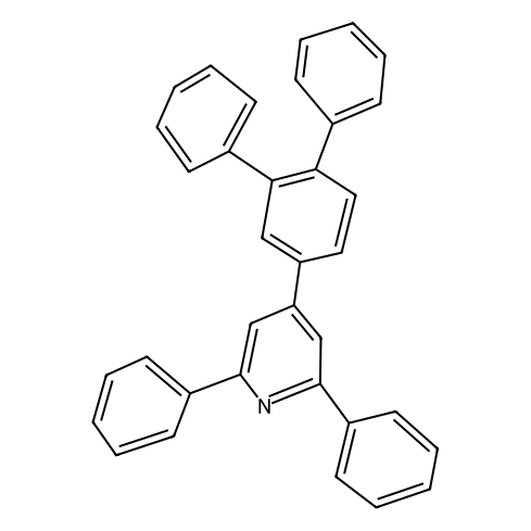 c1ccc(-c2cc(-c3ccc(-c4ccccc4)c(-c4ccccc4)c3)cc(-c3ccccc3)n2)cc1